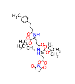 Cc1ccc(CCCC(=O)N[C@@H](CCC(=O)N[C@@H](CCC(=O)ON2C(=O)CCC2=O)C(=O)OC(C)(C)C)C(=O)OC(C)(C)C)cc1